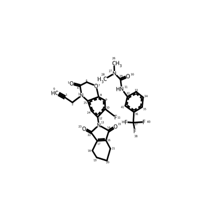 C#CCN1C(=O)COc2cc(F)c(N3C(=O)C4=C(CCCC4)C3=O)cc21.CN(C)C(=O)Nc1cccc(C(F)(F)F)c1